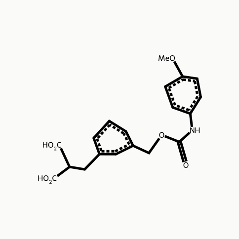 COc1ccc(NC(=O)OCc2cccc(CC(C(=O)O)C(=O)O)c2)cc1